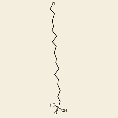 O=P(O)(O)CCCCCCCCCCCCCCCCCCCl